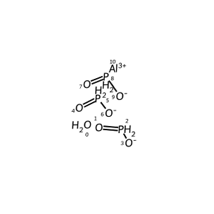 O.O=[PH2][O-].O=[PH2][O-].O=[PH2][O-].[Al+3]